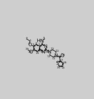 CCOc1cc2c(NC)nc(N3CCN(C(=O)c4cccs4)CC3)nc2cc1OC